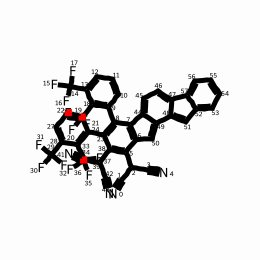 N#CC(C#N)c1c2c(c(-c3cccc(C(F)(F)F)c3C(F)(F)F)c(-c3cccc(C(F)(F)F)c3C(F)(F)F)c1C(C#N)C#N)-c1ccc3c(c1=C2)=Cc1ccccc1-3